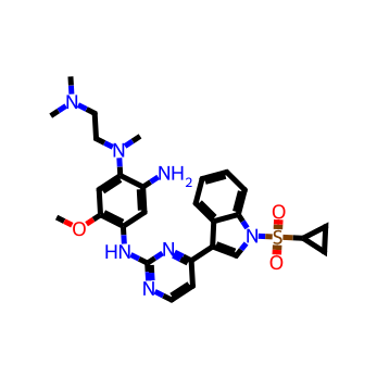 COc1cc(N(C)CCN(C)C)c(N)cc1Nc1nccc(-c2cn(S(=O)(=O)C3CC3)c3ccccc23)n1